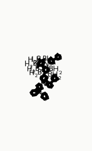 Bc1c(B)c(B)c2c(c1B)c1c(B)c(-c3ccc4c(c3)c3c(-c5ccccc5)cccc3n4-c3ccc4c5ccccc5n(-c5ccccc5)c4c3)c(B)c(B)c1n2-c1ccc(-c2ccccc2)cc1